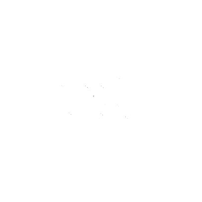 COc1nc(N2CCNCC2)c(-c2cn3cc(C)nc3c(C)n2)cc1C(N)=O